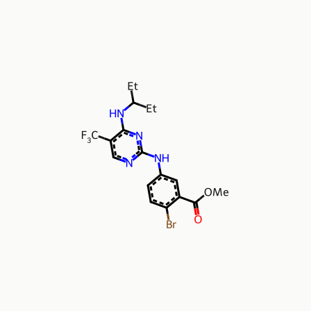 CCC(CC)Nc1nc(Nc2ccc(Br)c(C(=O)OC)c2)ncc1C(F)(F)F